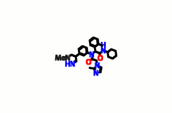 CNCC(C=N)c1cccc(N(C(=O)Cn2ccnc2C)C(C(=O)NC2CCCCC2)c2ccccc2C)c1